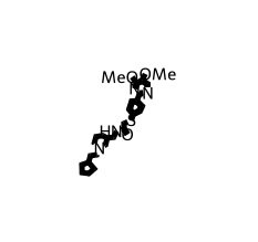 COc1cnc(-c2ccc(SCC(=O)NCC3CCCN(CCC4CCCC4)C3)cc2)nc1OC